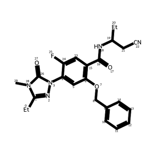 CCc1nn(-c2cc(OCc3ccccc3)c(C(=O)NC(CC)CC#N)cc2F)c(=O)n1C